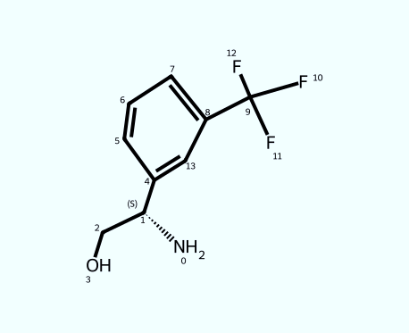 N[C@H](CO)c1cccc(C(F)(F)F)c1